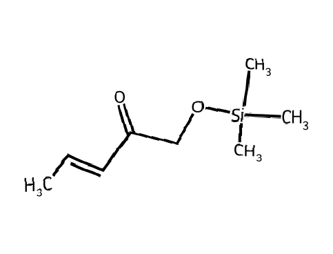 CC=CC(=O)CO[Si](C)(C)C